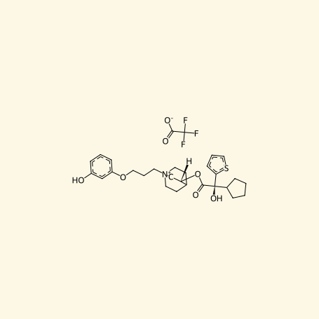 O=C(O[C@H]1C[N+]2(CCCOc3cccc(O)c3)CCC1CC2)[C@](O)(c1cccs1)C1CCCC1.O=C([O-])C(F)(F)F